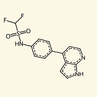 O=S(=O)(Nc1ccc(-c2ccnc3[nH]ccc23)cc1)C(F)F